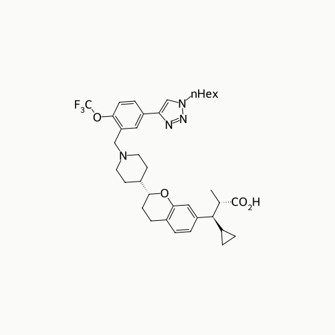 CCCCCCn1cc(-c2ccc(OC(F)(F)F)c(CN3CCC([C@H]4CCc5ccc([C@H](C6CC6)[C@H](C)C(=O)O)cc5O4)CC3)c2)nn1